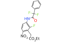 CCOC(=O)Cc1c([N+](=O)[O-])ccc(NC(=O)C(F)(F)c2ccccc2)c1F